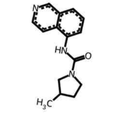 CC1CCN(C(=O)Nc2cccc3cnccc23)C1